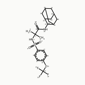 CC(C)(NS(=O)(=O)c1ccc(OC(F)(F)F)cc1)C(=O)NC1C2CC3CC(C2)CC1C3